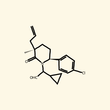 C=CC[C@@]1(C)CC[C@@H](c2ccc(Cl)cc2)N(C(C=O)C2CC2)C1=O